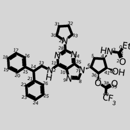 CCC(=O)N[C@H]1C[C@@H](n2cnc3c(NCC(c4ccccc4)c4ccccc4)nc(N4CCCC4)nc32)[C@H](OC(=O)C(F)(F)F)[C@@H]1O